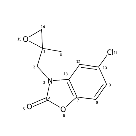 CC1(Cn2c(=O)oc3ccc(Cl)cc32)CO1